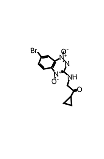 O=C(CNc1n[n+]([O-])c2cc(Br)ccc2[n+]1[O-])C1CC1